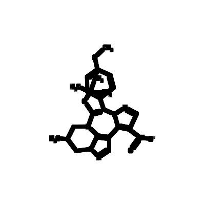 COc1ccc(Cn2ncc([N+](=O)[O-])c2-c2cnn3c2N(C(=O)OC(C)(C)C)CC(C)C3)cc1